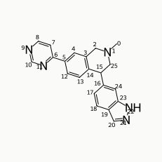 CN1Cc2cc(-c3ccncn3)ccc2C(c2ccc3cn[nH]c3c2)C1